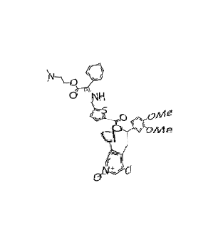 COc1ccc(C(Cc2c(Cl)c[n+]([O-])cc2Cl)OC(=O)c2ccc(CN[C@H](C(=O)OCCN(C)C)c3ccccc3)s2)cc1OC